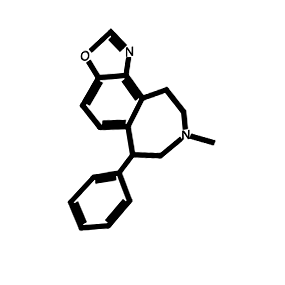 CN1CCc2c(ccc3ocnc23)C(c2ccccc2)C1